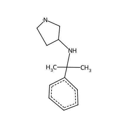 CC(C)(NC1CC[N]C1)c1ccccc1